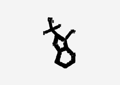 CC(C)n1c(C(F)(F)C(F)(F)F)nc2cccnc21